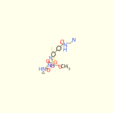 COCCS(=O)(=O)C(C(=O)NCC(=O)NC1CC1)c1nc2cc(F)c(-c3ccc(C(=O)NCCC#N)cc3)cc2s1